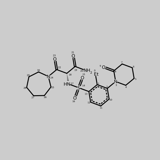 CCc1c(N2CCCCC2=O)cccc1S(=O)(=O)N[C@@H](C(N)=O)C(=O)N1CCCCCC1